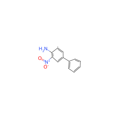 Nc1[c]cc(-c2ccccc2)cc1[N+](=O)[O-]